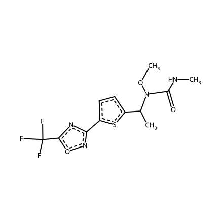 CNC(=O)N(OC)C(C)c1ccc(-c2noc(C(F)(F)F)n2)s1